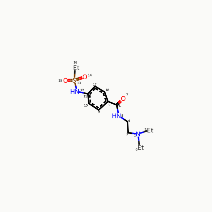 CCN(CC)CCNC(=O)c1ccc(NS(=O)(=O)CC)cc1